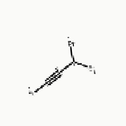 [CH2]CC#CC(CC)CC